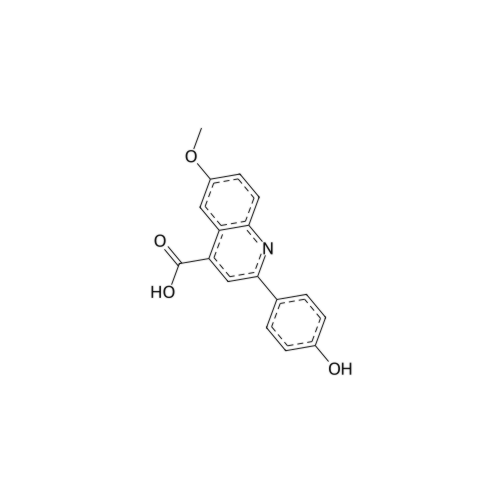 COc1ccc2nc(-c3ccc(O)cc3)cc(C(=O)O)c2c1